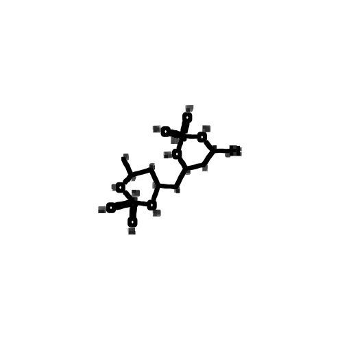 CCC1CC(CC2CC(C)OS(=O)(=O)O2)OS(=O)(=O)O1